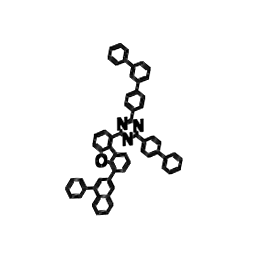 c1ccc(-c2ccc(-c3nc(-c4ccc(-c5cccc(-c6ccccc6)c5)cc4)nc(-c4cccc5oc6c(-c7cc(-c8ccccc8)c8ccccc8c7)cccc6c45)n3)cc2)cc1